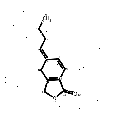 CCCC=C1C=CC2=C(COC2=O)C1